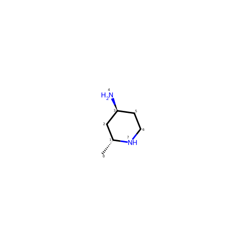 C[C@@H]1C[C@@H](N)CCN1